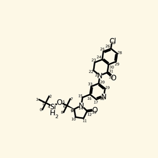 CC(C)(C)[SiH2]OC(C)(C)[C@@H]1CCC(=O)N1Cc1cncc(N2CCc3cc(Cl)ccc3C2=O)c1